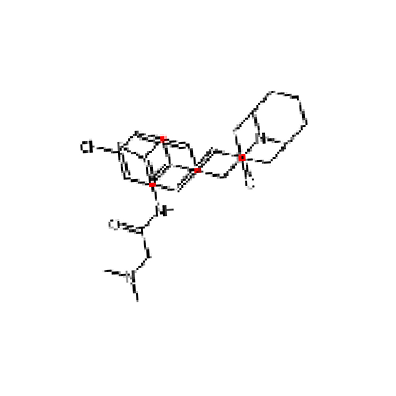 CN(C)CC(=O)Nc1cc(Cl)ccc1C=CC(=O)N1C2CCCC1CN(Cc1ccc(F)cc1)C2